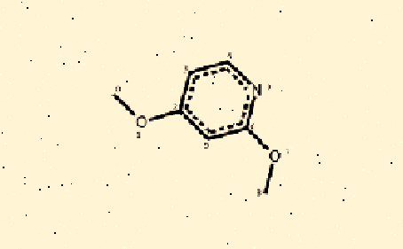 COc1[c]cnc(OC)c1